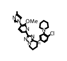 COc1nc(-c2nc3n(n2)CCC[C@@H]3c2ccc(Cl)c(N3CCCCC3)c2)ccc1-n1cnc(C)c1